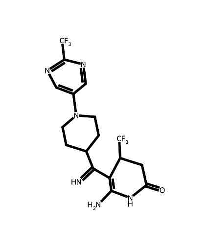 N=C(C1=C(N)NC(=O)CC1C(F)(F)F)C1CCN(c2cnc(C(F)(F)F)nc2)CC1